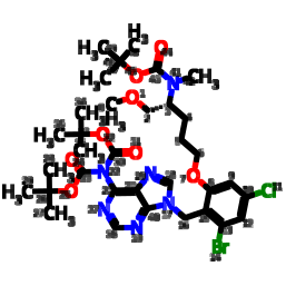 COC[C@@H](CCCOc1cc(Cl)cc(Br)c1Cn1cnc2c(N(C(=O)OC(C)(C)C)C(=O)OC(C)(C)C)ncnc21)N(C)C(=O)OC(C)(C)C